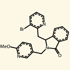 COc1ccc(CN2C(=O)c3ccccc3C2Cc2ncccc2Br)cn1